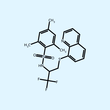 Cc1cc(C)c(S(=O)(=O)NC(CSc2cccc3cccnc23)C(F)(F)F)c(C)c1